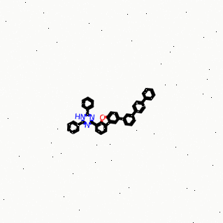 c1ccc(C2=NC(c3cccc4c3oc3ccc(-c5cccc(-c6ccc(-c7ccccc7)cc6)c5)cc34)=NC(c3ccccc3)N2)cc1